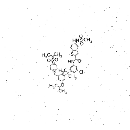 CC(C)Oc1cc(CN2CCN(S(=O)(=O)N(C)C)CC2)cc(C(C)(C)c2cc(Cl)cc(NC(=O)c3cc4cc(NS(C)(=O)=O)ccc4s3)c2)c1